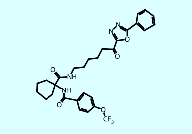 O=C(NC1(C(=O)NCCCCCC(=O)c2nnc(-c3ccccc3)o2)CCCCC1)c1ccc(OC(F)(F)F)cc1